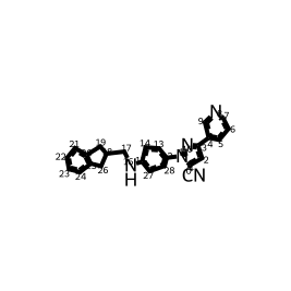 N#Cc1cc(-c2cccnc2)nn1-c1ccc(NCC2Cc3ccccc3C2)cc1